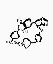 CC(=O)N1CCN(Cc2ccc(Nc3nc(-c4ccc(C)c(NC(=O)c5ccc(C(C)(C)C)cc5)c4)cn4ccnc34)cc2)CC1